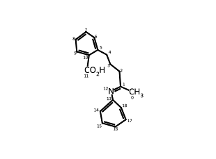 CC(CCCc1ccccc1C(=O)O)=Nc1ccccc1